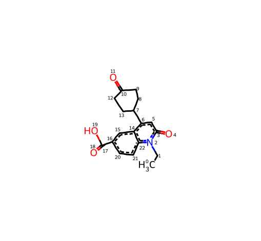 CCn1c(=O)cc(C2CCC(=O)CC2)c2cc(C(=O)O)ccc21